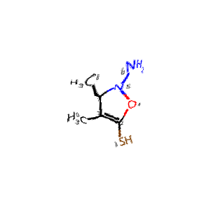 CC1=C(S)ON(N)C1C